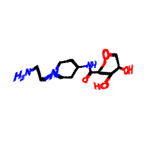 NCCN1CCC(NC(=O)C2OCC(O)C2O)CC1